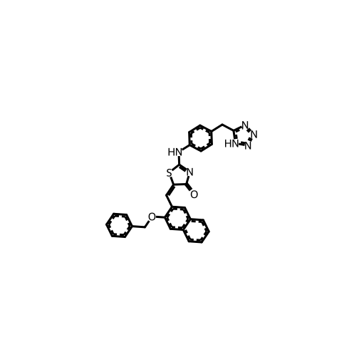 O=C1N=C(Nc2ccc(Cc3nnn[nH]3)cc2)SC1=Cc1cc2ccccc2cc1OCc1ccccc1